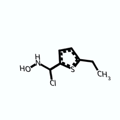 CCc1ccc(C(Cl)NO)s1